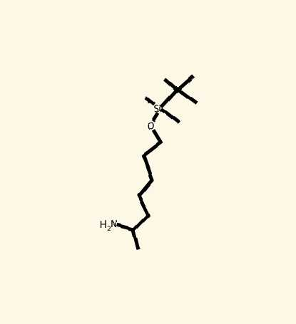 CC(N)CCCCCO[Si](C)(C)C(C)(C)C